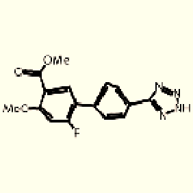 COC(=O)c1cc(-c2ccc(-c3nn[nH]n3)cc2)c(F)cc1OC